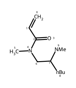 C=CC(=O)N(C)CC(CCCC)NC